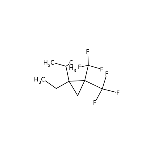 CCC1(C(C)C)CC1(C(F)(F)F)C(F)(F)F